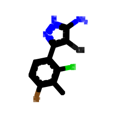 Cc1c(Br)ccc(-c2n[nH]c(N)c2C#N)c1Cl